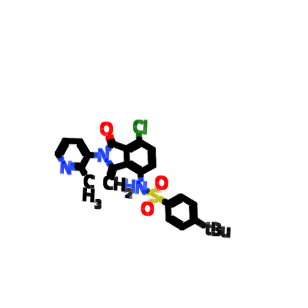 C=C1c2c(NS(=O)(=O)c3ccc(C(C)(C)C)cc3)ccc(Cl)c2C(=O)N1c1cccnc1C